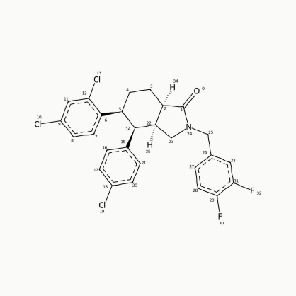 O=C1[C@@H]2CC[C@H](c3ccc(Cl)cc3Cl)[C@H](c3ccc(Cl)cc3)[C@@H]2CN1Cc1ccc(F)c(F)c1